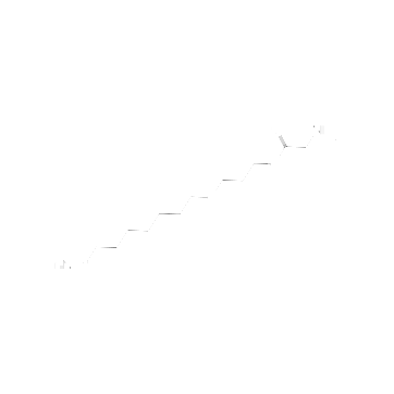 CCCCCCCCCCCCCCCCOCCCOC(=O)CN